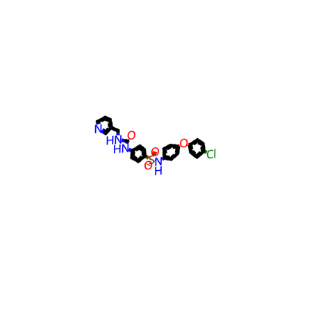 O=C(NCc1cccnc1)Nc1ccc(S(=O)(=O)Nc2ccc(Oc3ccc(Cl)cc3)cc2)cc1